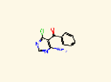 Nc1ncnc(Cl)c1C(=O)c1ccccc1